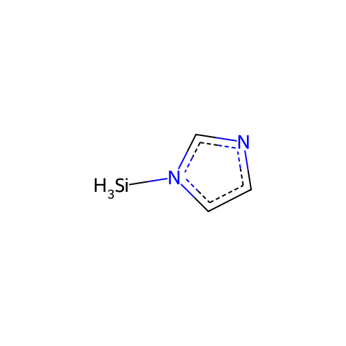 [SiH3]n1ccnc1